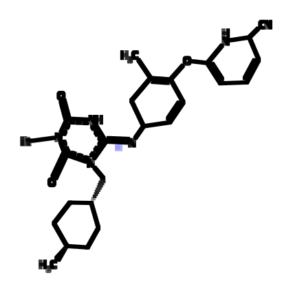 CCn1c(=O)[nH]/c(=N\C2C=CC(OC3=CC=CC(C#N)N3)=C(C)C2)n(C[C@H]2CC[C@H](C)CC2)c1=O